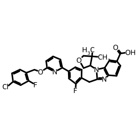 CC1(C)COCC1n1c(Cc2ccc(-c3cccc(OCc4ccc(Cl)cc4F)n3)cc2F)nc2ccc(C(=O)O)cc21